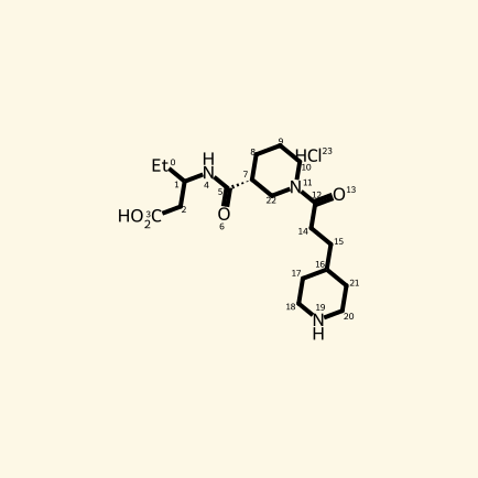 CCC(CC(=O)O)NC(=O)[C@@H]1CCCN(C(=O)CCC2CCNCC2)C1.Cl